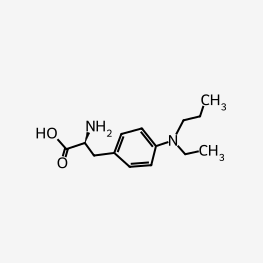 CCCN(CC)c1ccc(C[C@H](N)C(=O)O)cc1